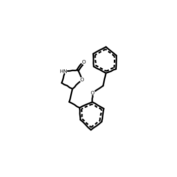 O=C1NCC(Cc2ccccc2OCc2ccccc2)O1